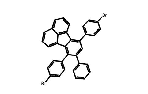 Brc1ccc(-c2cc(-c3ccccc3)c(-c3ccc(Br)cc3)c3c2-c2cccc4cccc-3c24)cc1